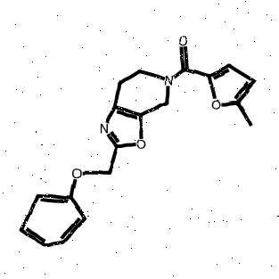 Cc1ccc(C(=O)N2CCc3nc(COc4ccccc4)oc3C2)o1